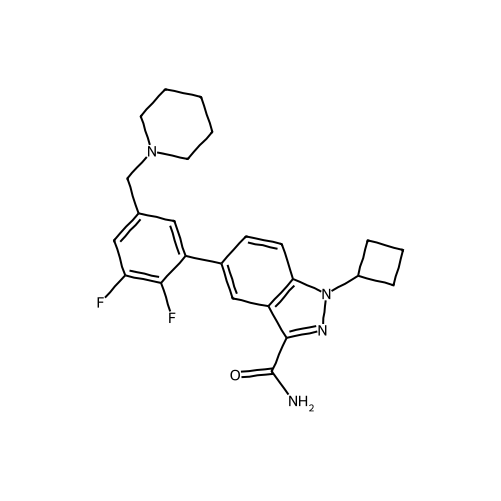 NC(=O)c1nn(C2CCC2)c2ccc(-c3cc(CN4CCCCC4)cc(F)c3F)cc12